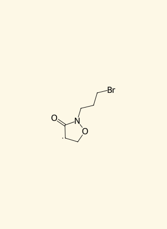 O=C1[CH]CON1CCCBr